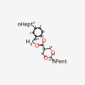 CCCCCCCc1ccc(OC(=O)C2COC(CCCCC)OC2)c(C)c1